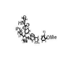 COc1ccc([C@H]2CC[C@H](CN(c3cc(-c4cnc(C(C)C)s4)ccn3)C(=O)[C@H]3CC[C@H](OC(=O)NC4COC4)CC3)CC2)cc1C